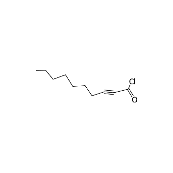 CCCCCCCC#CC(=O)Cl